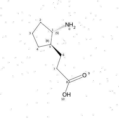 N[C@H]1CCC[C@@H]1CCC(=O)O